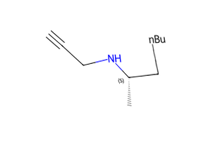 C#CCN[C@@H](C)CCCCC